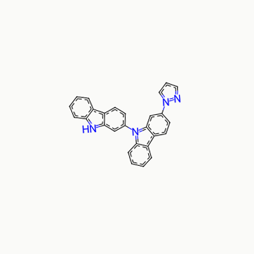 c1ccc2c(c1)[nH]c1cc(-n3c4ccccc4c4ccc(-n5cccn5)cc43)ccc12